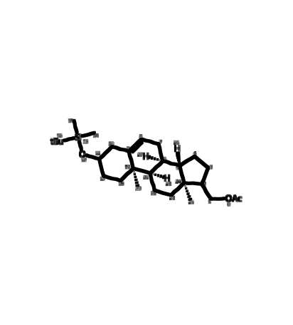 CC(=O)OCC1CC[C@H]2[C@@H]3CC=C4CC(O[Si](C)(C)C(C)(C)C)CC[C@]4(C)[C@@H]3CC[C@]12C